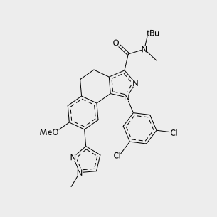 COc1cc2c(cc1-c1ccn(C)n1)-c1c(c(C(=O)N(C)C(C)(C)C)nn1-c1cc(Cl)cc(Cl)c1)CC2